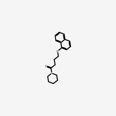 O=C(CCCOc1cccc2ccccc12)N1CCCCC1